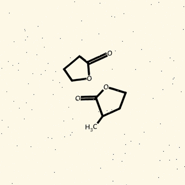 CC1CCOC1=O.O=C1CCCO1